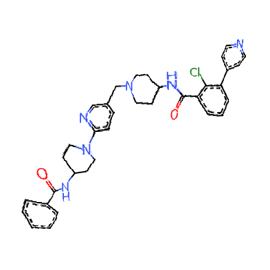 O=C(NC1CCN(c2ccc(CN3CCC(NC(=O)c4cccc(-c5ccncc5)c4Cl)CC3)cn2)CC1)c1ccccc1